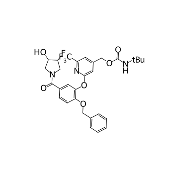 CC(C)(C)NC(=O)OCc1cc(Oc2cc(C(=O)N3CC(O)C(F)C3)ccc2OCc2ccccc2)nc(C(F)(F)F)c1